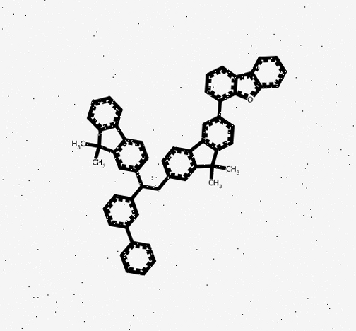 CC1(C)c2ccc(-c3cccc4c3oc3ccccc34)cc2-c2ccc(CC(c3cccc(-c4ccccc4)c3)c3ccc4c(c3)C(C)(C)c3ccccc3-4)cc21